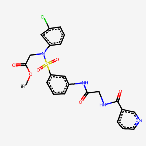 CC(C)OC(=O)CN(c1cccc(Cl)c1)S(=O)(=O)c1cccc(NC(=O)CNC(=O)c2cccnc2)c1